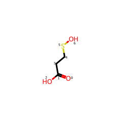 O=C(O)CCSO